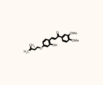 C=C(C)CCOc1ccc(C=CC(=O)c2ccc(OC)c(OC)c2)c(O)c1